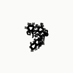 O=S1(=O)N=C(NCc2ccccc2C(F)(F)F)Nc2c1cc(F)c(F)c2Oc1ccccc1Cl